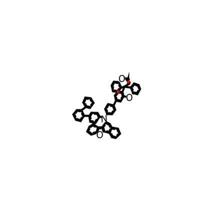 c1ccc(-c2ccccc2-c2ccc(N(c3ccc(-c4ccc5c(c4)Oc4ccccc4C54c5ccccc5Oc5ccccc54)cc3)c3cc4ccccc4c4oc5ccccc5c34)cc2)cc1